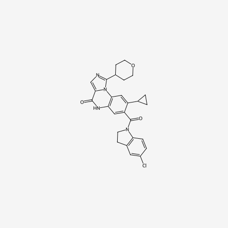 O=C(c1cc2[nH]c(=O)c3cnc(C4CCOCC4)n3c2cc1C1CC1)N1CCc2cc(Cl)ccc21